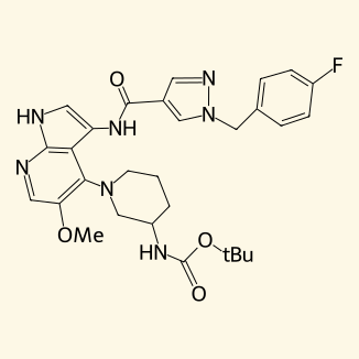 COc1cnc2[nH]cc(NC(=O)c3cnn(Cc4ccc(F)cc4)c3)c2c1N1CCCC(NC(=O)OC(C)(C)C)C1